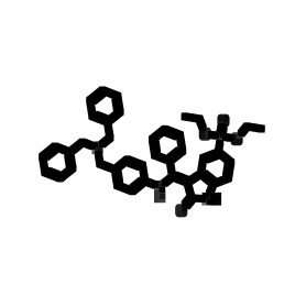 CCOP(=O)(OCC)c1ccc2c(c1)/C(=C(/Nc1ccc(CN(Cc3ccccc3)Cc3ccccc3)cc1)c1ccccc1)C(=O)N2